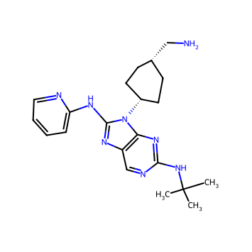 CC(C)(C)Nc1ncc2nc(Nc3ccccn3)n([C@H]3CC[C@@H](CN)CC3)c2n1